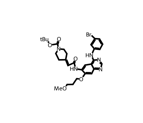 COCCCOc1cc2ncnc(Nc3cccc(Br)c3)c2cc1NC(=O)C=C1CCN(C(=O)OC(C)(C)C)CC1